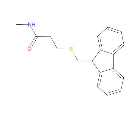 CNC(=O)CCSCC1c2ccccc2-c2ccccc21